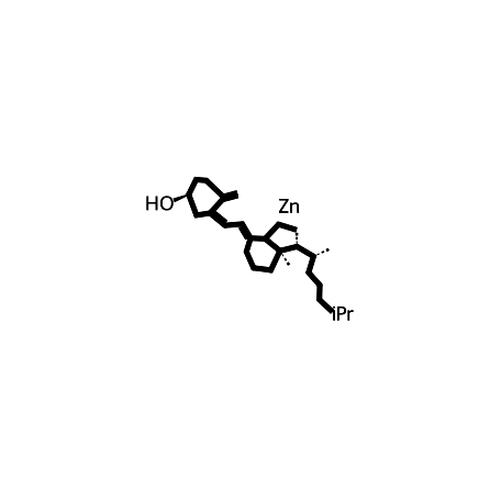 C=C1CC[C@H](O)C/C1=C/C=C1\CCC[C@@]2(C)C1CC[C@@H]2[C@H](C)CCCC(C)C.[Zn]